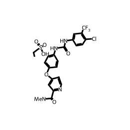 CCS(=O)(=O)O.CNC(=O)c1cc(Oc2ccc(NC(=O)Nc3ccc(Cl)c(C(F)(F)F)c3)cc2)ccn1